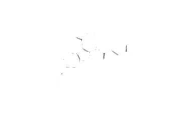 CCC(C)(C)C1CCc2c(sc(NC(=O)/C=C/C(=O)O)c2C(N)=O)C1